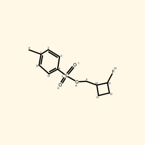 Cc1ccc(S(=O)(=O)OCC2CCC2F)cc1